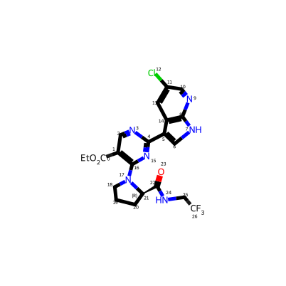 CCOC(=O)c1cnc(-c2c[nH]c3ncc(Cl)cc23)nc1N1CCC[C@@H]1C(=O)NCC(F)(F)F